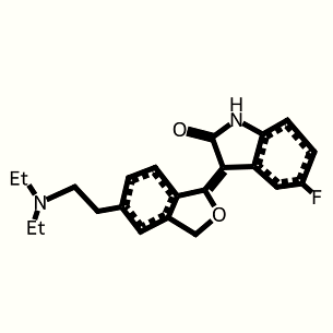 CCN(CC)CCc1ccc2c(c1)COC2=C1C(=O)Nc2ccc(F)cc21